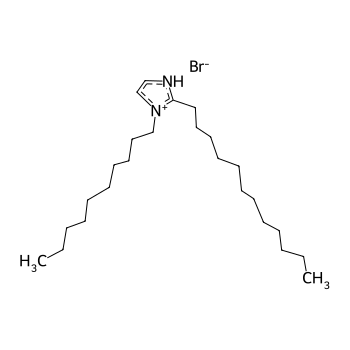 CCCCCCCCCCCCc1[nH]cc[n+]1CCCCCCCCCC.[Br-]